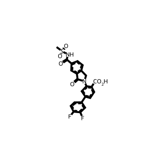 CS(=O)(=O)NC(=O)c1ccc2c(c1)C(=O)N(c1cc(-c3ccc(F)c(F)c3)ccc1C(=O)O)C2